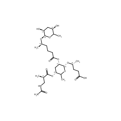 CC1O[C@@H](O[C@H](C)CCCC(=O)O[C@H]2C[C@@H](OC(=O)[C@H](C)CNC(N)=O)C(C)O[C@H]2O[C@H](C)CCC(=O)O)[C@@H](O)C[C@H]1O